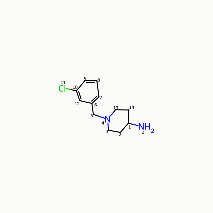 NC1CCN(Cc2cccc(Cl)c2)CC1